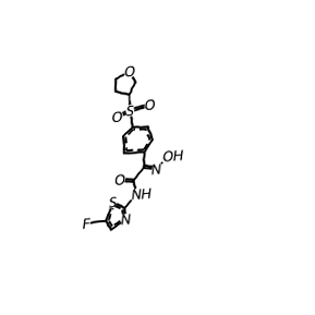 O=C(Nc1ncc(F)s1)/C(=N/O)c1ccc(S(=O)(=O)[C@H]2CCOC2)cc1